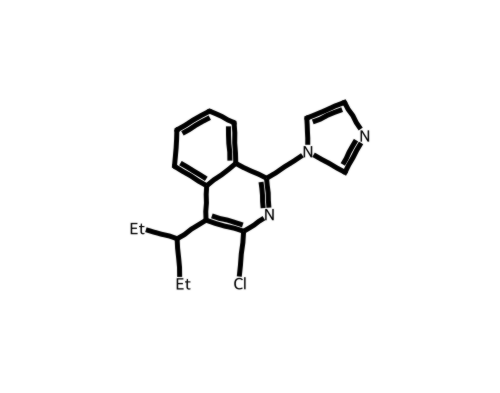 CCC(CC)c1c(Cl)nc(-n2ccnc2)c2ccccc12